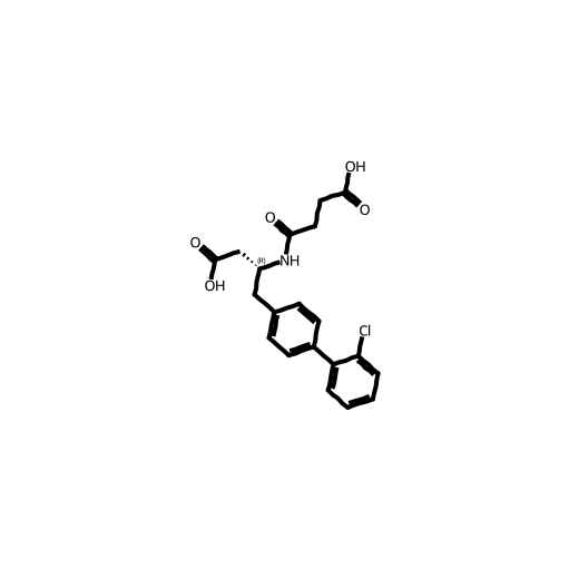 O=C(O)CCC(=O)N[C@@H](CC(=O)O)Cc1ccc(-c2ccccc2Cl)cc1